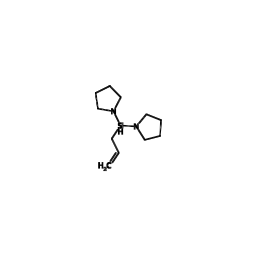 C=CC[SiH](N1CCCC1)N1CCCC1